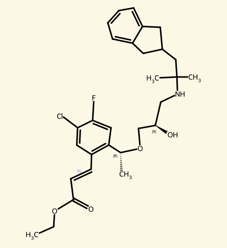 CCOC(=O)/C=C/c1cc(Cl)c(F)cc1[C@@H](C)OC[C@H](O)CNC(C)(C)CC1Cc2ccccc2C1